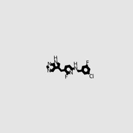 Fc1cc(Cl)cc(CNc2ccc(Cc3c[nH]c4ncncc34)c(F)n2)c1